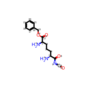 NC(CCC[C@H](N)C(=O)N=C=O)C(=O)OCc1ccccc1